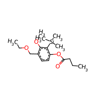 CCCC(=O)Oc1ccc(COCC)c(OC)c1[Si](C)(C)C